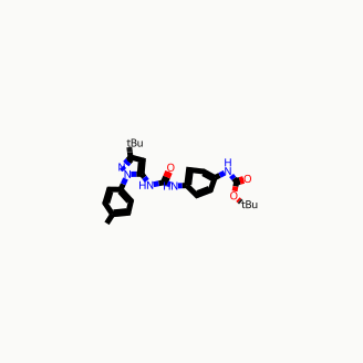 Cc1ccc(-n2nc(C(C)(C)C)cc2NC(=O)Nc2ccc(NC(=O)OC(C)(C)C)cc2)cc1